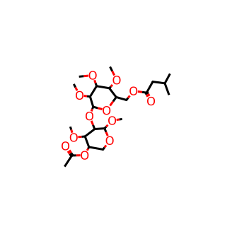 COC1OCC(OC(C)=O)C(OC)C1OC1OC(COC(=O)CC(C)C)C(OC)C(OC)C1OC